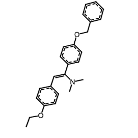 CCOc1ccc(C=C(c2ccc(OCc3ccccc3)cc2)N(C)C)cc1